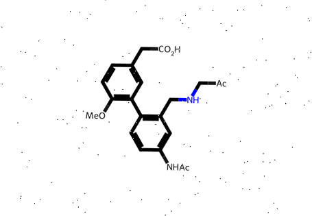 COc1ccc(CC(=O)O)cc1-c1ccc(NC(C)=O)cc1CNCC(C)=O